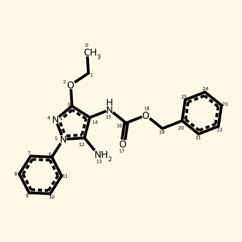 CCOc1nn(-c2ccccc2)c(N)c1NC(=O)OCc1ccccc1